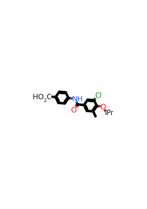 Cc1cc(C(=O)Nc2ccc(C(=O)O)cc2)cc(Cl)c1OC(C)C